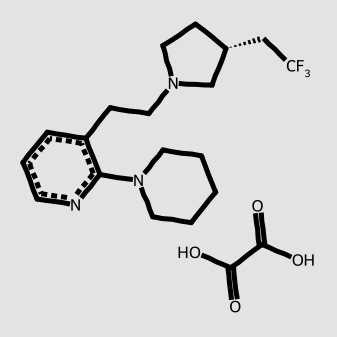 FC(F)(F)C[C@H]1CCN(CCc2cccnc2N2CCCCC2)C1.O=C(O)C(=O)O